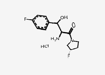 Cl.NC(C(=O)N1CC[C@H](F)C1)C(O)c1ccc(F)cc1